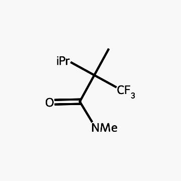 CNC(=O)C(C)(C(C)C)C(F)(F)F